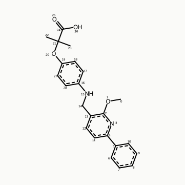 COc1nc(-c2ccccc2)ccc1CNc1ccc(OC(C)(C)C(=O)O)cc1